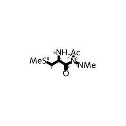 CNN(C(C)=O)C(=O)C(N)CSC